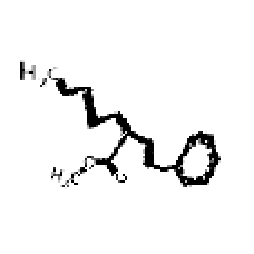 C=CC=CC=C(C=Cc1ccccc1)C(=O)OC